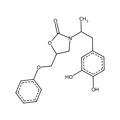 CC(Cc1ccc(O)c(O)c1)N1CC(COc2ccccc2)OC1=O